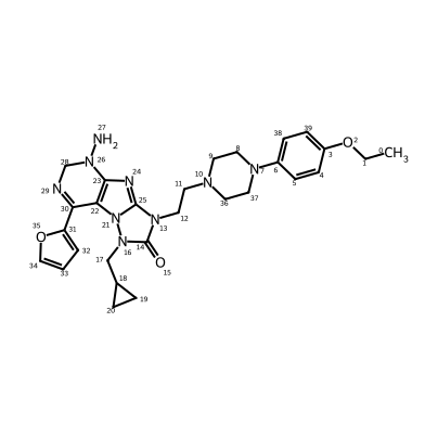 CCOc1ccc(N2CCN(CCn3c(=O)n(CC4CC4)n4c5c(nc34)N(N)CN=C5c3ccco3)CC2)cc1